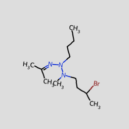 CCCCN(N=C(C)C)N(C)CCC(C)Br